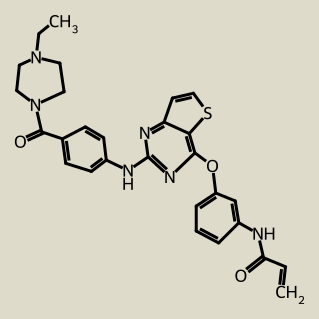 C=CC(=O)Nc1cccc(Oc2nc(Nc3ccc(C(=O)N4CCN(CC)CC4)cc3)nc3ccsc23)c1